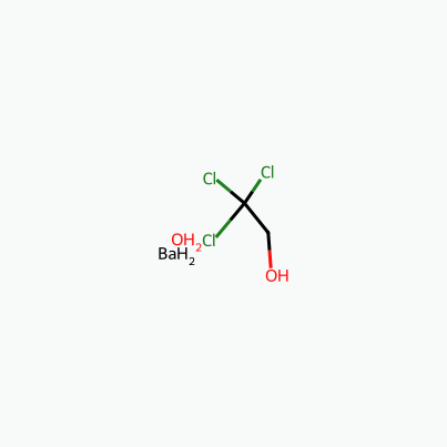 O.OCC(Cl)(Cl)Cl.[BaH2]